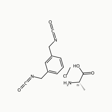 CCl.C[C@H](N)C(=O)O.O=C=NCc1cccc(CN=C=O)c1